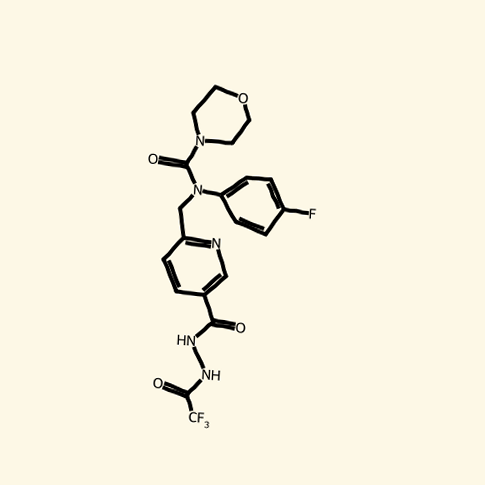 O=C(NNC(=O)C(F)(F)F)c1ccc(CN(C(=O)N2CCOCC2)c2ccc(F)cc2)nc1